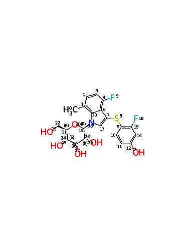 Cc1ccc(F)c2c(Sc3ccc(O)cc3F)cn([C@@H]3O[C@H](CO)[C@@H](O)[C@H](O)[C@H]3O)c12